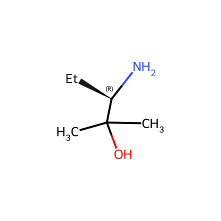 CC[C@@H](N)C(C)(C)O